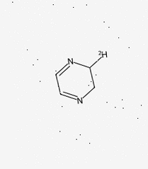 [2H]C1CN=CC=N1